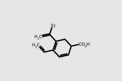 C=CC1=C(C(=C)CC)CC(C(=O)O)C=C1